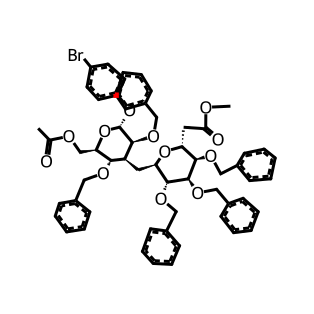 COC(=O)C[C@H]1O[C@H](C[C@@H]2[C@H](OCc3ccccc3)[C@@H](Oc3ccc(Br)cc3)O[C@H](COC(C)=O)[C@H]2OCc2ccccc2)[C@@H](OCc2ccccc2)[C@H](OCc2ccccc2)[C@@H]1OCc1ccccc1